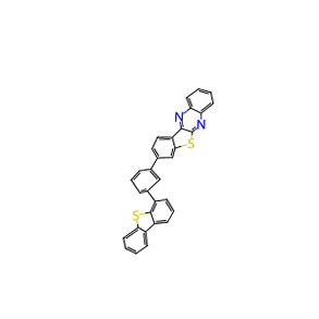 c1cc(-c2ccc3c(c2)sc2nc4ccccc4nc23)cc(-c2cccc3c2sc2ccccc23)c1